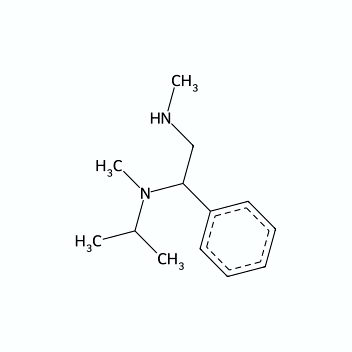 CNCC(c1ccccc1)N(C)C(C)C